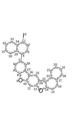 Ic1ccc(-c2ccc3oc4cc5oc6ccc7ccccc7c6c5cc4c3c2)c2ccccc12